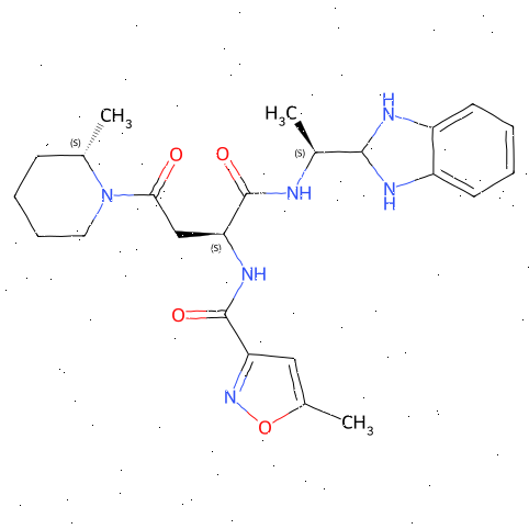 Cc1cc(C(=O)N[C@@H](CC(=O)N2CCCC[C@@H]2C)C(=O)N[C@@H](C)C2Nc3ccccc3N2)no1